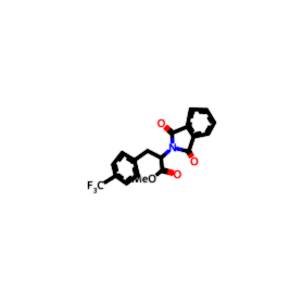 COC(=O)C(Cc1ccc(C(F)(F)F)cc1)N1C(=O)c2ccccc2C1=O